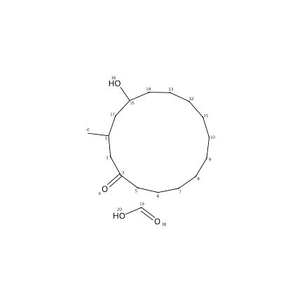 CC1CC(=O)CCCCCCCCCCC(O)C1.O=CO